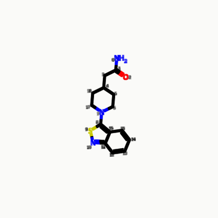 NC(=O)CC1CCN(c2snc3ccccc23)CC1